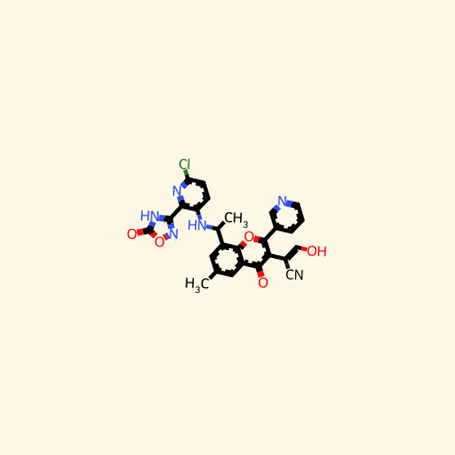 Cc1cc(C(C)Nc2ccc(Cl)nc2-c2noc(=O)[nH]2)c2oc(-c3cccnc3)c(/C(C#N)=C/O)c(=O)c2c1